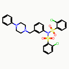 O=S(=O)(c1ccccc1Cl)N(c1cccc(CN2CCN(c3ccccc3)CC2)c1)S(=O)(=O)c1ccccc1Cl